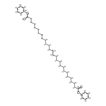 O=C(CCCCCCCCCCCCSSCCCCCCCCCCCCC(=O)Oc1ccccc1)Oc1ccccc1